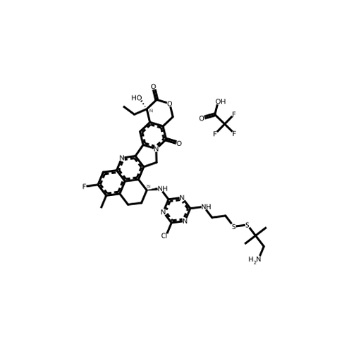 CC[C@@]1(O)C(=O)OCc2c1cc1n(c2=O)Cc2c-1nc1cc(F)c(C)c3c1c2[C@@H](Nc1nc(Cl)nc(NCCSSC(C)(C)CN)n1)CC3.O=C(O)C(F)(F)F